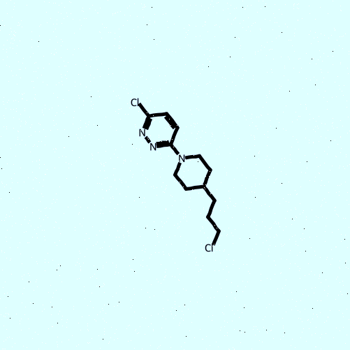 ClCCCC1CCN(c2ccc(Cl)nn2)CC1